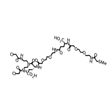 CSCC(=O)NCCOCCOCC(=O)NC(CCC(=O)NCCOCCOCC(=O)N[C@H](CCC(=O)O)C(=O)N(CCNC(=O)CCl)CCNC(=O)CCl)C(=O)O